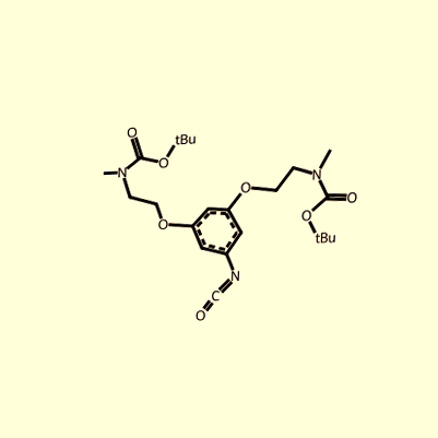 CN(CCOc1cc(N=C=O)cc(OCCN(C)C(=O)OC(C)(C)C)c1)C(=O)OC(C)(C)C